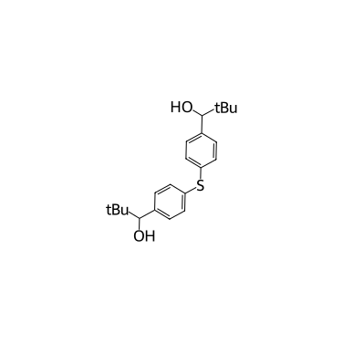 CC(C)(C)C(O)c1ccc(Sc2ccc(C(O)C(C)(C)C)cc2)cc1